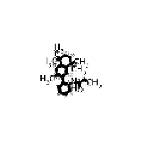 C=CC(=O)Nc1ccccc1-c1cc2c(cc1C)C(C)(C)CCC2(C)C